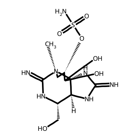 C[C@H]1[C@H](OS(N)(=O)=O)C(O)(O)[C@]23NC(=N)N[C@H]2[C@H](CO)NC(=N)N13